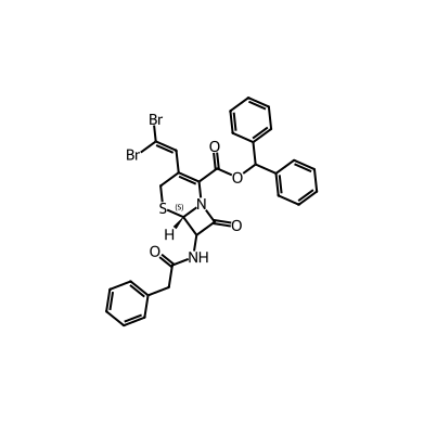 O=C(Cc1ccccc1)NC1C(=O)N2C(C(=O)OC(c3ccccc3)c3ccccc3)=C(C=C(Br)Br)CS[C@@H]12